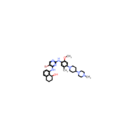 COc1cc(N2CCC(N3CCN(C)CC3)CC2)c(C)cc1Nc1ncc(Br)c(Nc2cccc3c2C(O)CCC3)n1